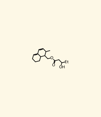 CCC(O)CC(=O)OCC1C(C)C=CC2=CCCCC21